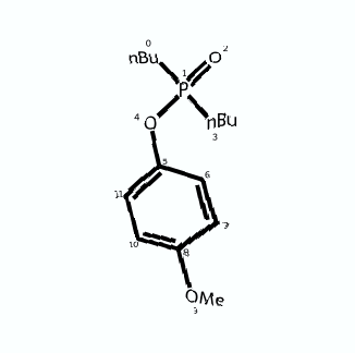 CCCCP(=O)(CCCC)Oc1ccc(OC)cc1